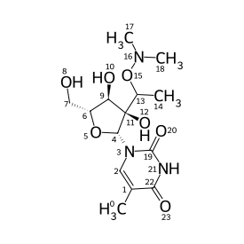 Cc1cn([C@@H]2O[C@H](CO)[C@@H](O)[C@]2(O)C(C)ON(C)C)c(=O)[nH]c1=O